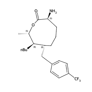 CCCC[C@@H]1[C@@H](Cc2ccc(C(F)(F)F)cc2)CCC[C@H](N)C(=O)O[C@H]1C